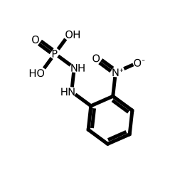 O=[N+]([O-])c1ccccc1NNP(=O)(O)O